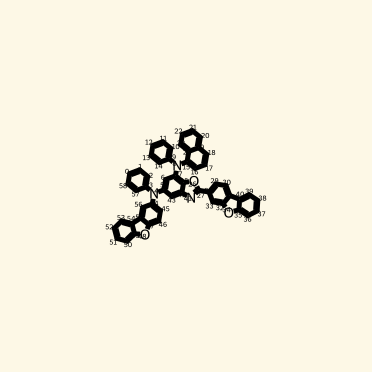 c1ccc(N(c2cc(N(c3ccccc3)c3cccc4ccccc34)c3oc(-c4ccc5c(c4)oc4ccccc45)nc3c2)c2ccc3oc4ccccc4c3c2)cc1